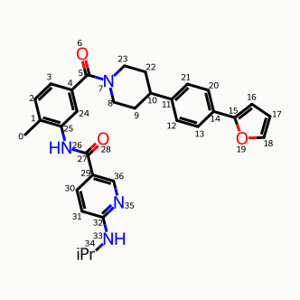 Cc1ccc(C(=O)N2CCC(c3ccc(-c4ccco4)cc3)CC2)cc1NC(=O)c1ccc(NC(C)C)nc1